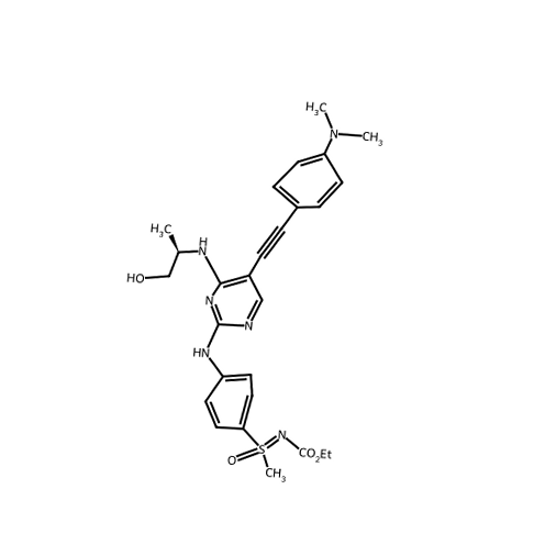 CCOC(=O)N=S(C)(=O)c1ccc(Nc2ncc(C#Cc3ccc(N(C)C)cc3)c(N[C@H](C)CO)n2)cc1